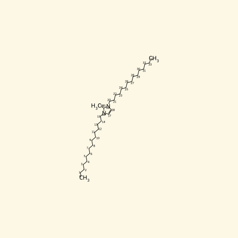 CCCCCCCCCCCCCCCCN1C=CN(CCCCCCCCCCCCCCC)C1C